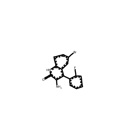 Nc1c(-c2ccccc2F)c2cc(Br)ccc2[nH]c1=O